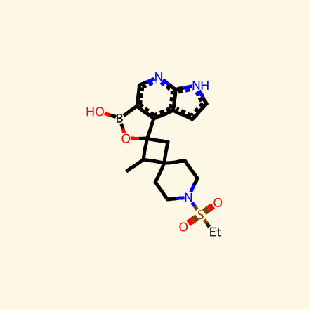 CCS(=O)(=O)N1CCC2(CC1)CC1(OB(O)c3cnc4[nH]ccc4c31)C2C